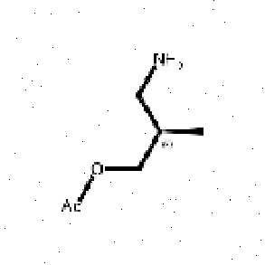 CC(=O)OC[C@H](C)CN